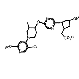 COc1cc(N2CCC(Oc3cnc(N4CC(OC)CC4CC(=O)O)cn3)C(C)C2)c(Cl)cn1